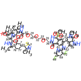 Cc1ncsc1-c1ccc([C@H](C)NC(=O)[C@@H]2C[C@@H](O)CN2C(=O)[C@@H](NC(=O)COCCOCCOCCNC(=O)c2cc3c(cc2CS(C)(=O)=O)-c2cn(C)c(=O)c4[nH]cc(c24)CN3c2ncc(F)cc2F)C(C)(C)C)cc1